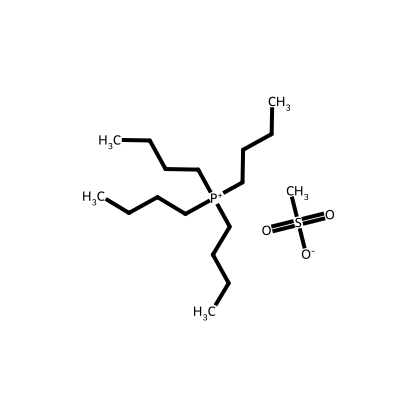 CCCC[P+](CCCC)(CCCC)CCCC.CS(=O)(=O)[O-]